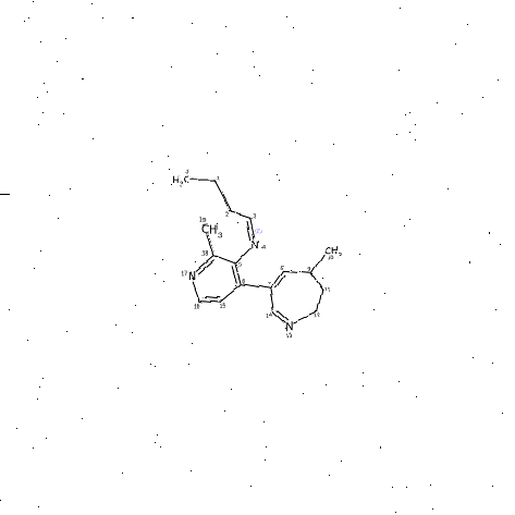 CCC/C=N\c1c(C2=CC(C)CCN=C2)ccnc1C